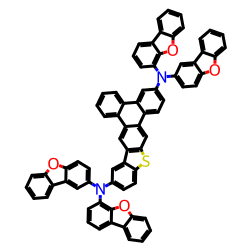 c1ccc2c(c1)oc1ccc(N(c3ccc4sc5cc6c7ccc(N(c8ccc9oc%10ccccc%10c9c8)c8cccc9c8oc8ccccc89)cc7c7ccccc7c6cc5c4c3)c3cccc4c3oc3ccccc34)cc12